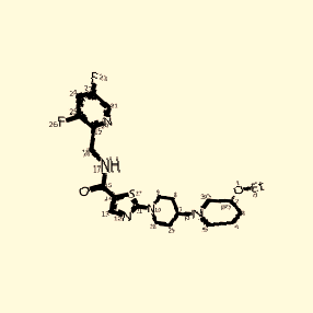 CCO[C@@H]1CCCN(C2CCN(c3ncc(C(=O)NCc4ncc(F)cc4F)s3)CC2)C1